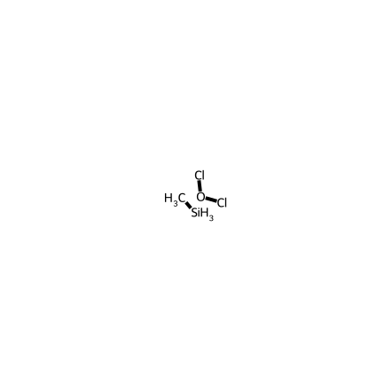 C[SiH3].ClOCl